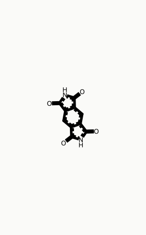 O=c1[nH]c(=O)c2cc3c(=O)[nH]c(=O)c3cc12